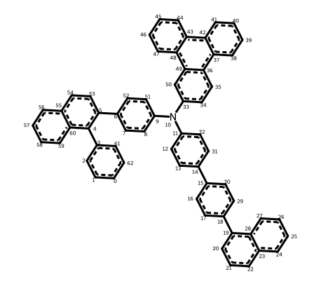 c1ccc(-c2c(-c3ccc(N(c4ccc(-c5ccc(-c6cccc7ccccc67)cc5)cc4)c4ccc5c6ccccc6c6ccccc6c5c4)cc3)ccc3ccccc23)cc1